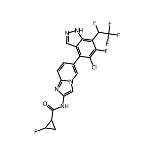 O=C(Nc1cn2cc(-c3c(Cl)c(F)c(C(F)C(F)(F)F)c4[nH]ncc34)ccc2n1)C1CC1F